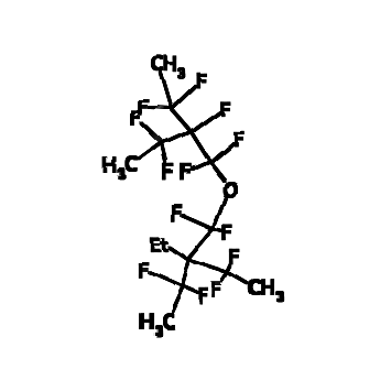 CCC(C(C)(F)F)(C(C)(F)F)C(F)(F)OC(F)(F)C(F)(C(C)(F)F)C(C)(F)F